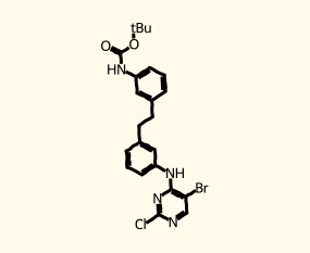 CC(C)(C)OC(=O)Nc1cccc(CCc2cccc(Nc3nc(Cl)ncc3Br)c2)c1